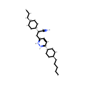 CCCCC[C@H]1CC[C@H](c2ccc(CC(C#N)[C@H]3CC[C@H](CCC)CC3)nn2)CC1